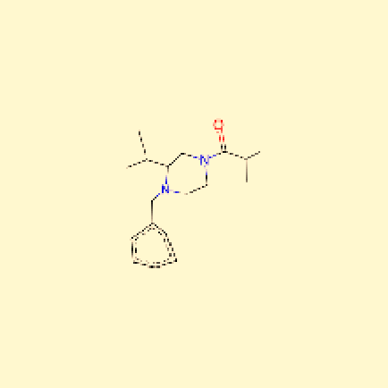 CC(C)C(=O)N1CCN(Cc2ccccc2)C(C(C)C)C1